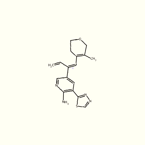 C=C/C(=C\C1=C(C)COCC1)c1cnc(N)c(-c2nncs2)c1